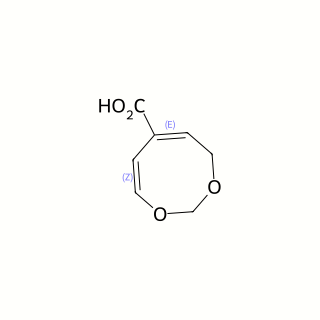 O=C(O)C1=C/COCO/C=C\1